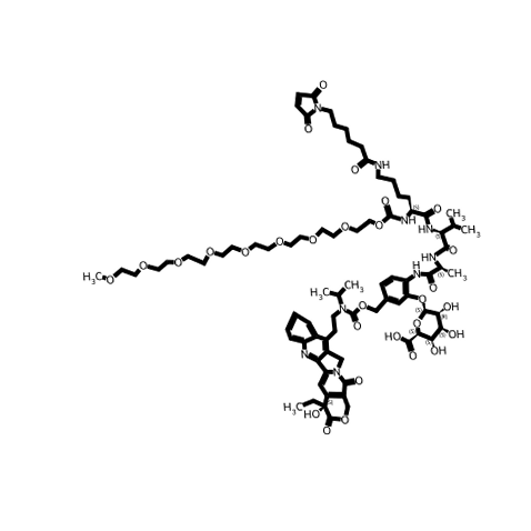 CC[C@@]1(O)C(=O)OCc2c1cc1n(c2=O)Cc2c-1nc1ccccc1c2CCN(C(=O)OCc1ccc(NC(=O)[C@H](C)NC(=O)[C@@H](NC(=O)[C@H](CCCCNC(=O)CCCCCN2C(=O)C=CC2=O)NC(=O)OCCOCCOCCOCCOCCOCCOCCOCCOC)C(C)C)c(O[C@@H]2O[C@H](C(=O)O)[C@@H](O)[C@H](O)[C@H]2O)c1)C(C)C